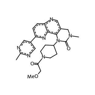 COCC(=O)N1CCC(N2C(=O)N(C)Cc3cnc4ccc(-c5cnc(C)nc5)nc4c32)CC1